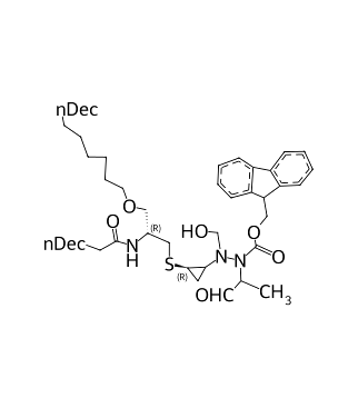 CCCCCCCCCCCCCCCCOC[C@H](CS[C@@H]1CC1N(CO)N(C(=O)OCC1c2ccccc2-c2ccccc21)C(C)C=O)NC(=O)CCCCCCCCCCC